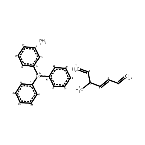 C=CC=CC(C)C=C.P.c1cc[c]([Co]([c]2ccccc2)[c]2ccccc2)cc1